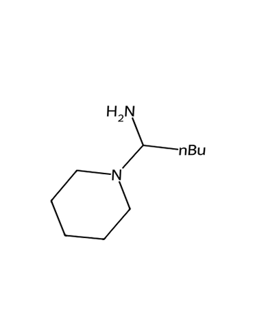 CCCCC(N)N1CCCCC1